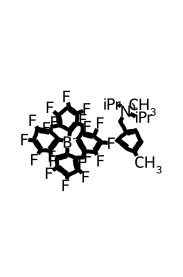 Cc1ccc(C[N+](C)(C(C)C)C(C)C)cc1.Fc1c(F)c(F)c([B-](c2c(F)c(F)c(F)c(F)c2F)(c2c(F)c(F)c(F)c(F)c2F)c2c(F)c(F)c(F)c(F)c2F)c(F)c1F